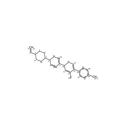 C=CC1CCC(C2C=NC(C3C=C(F)C(c4ccc(C)cc4)=CC3)=NC2)CC1